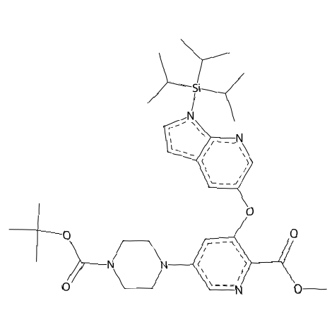 COC(=O)c1ncc(N2CCN(C(=O)OC(C)(C)C)CC2)cc1Oc1cnc2c(ccn2[Si](C(C)C)(C(C)C)C(C)C)c1